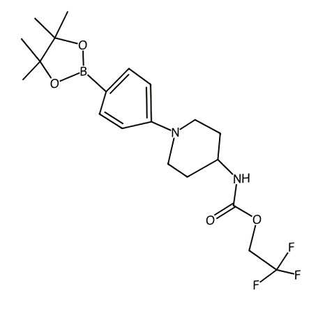 CC1(C)OB(c2ccc(N3CCC(NC(=O)OCC(F)(F)F)CC3)cc2)OC1(C)C